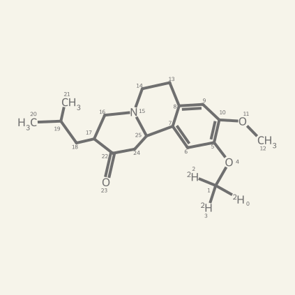 [2H]C([2H])([2H])Oc1cc2c(cc1OC)CCN1CC(CC(C)C)C(=O)CC21